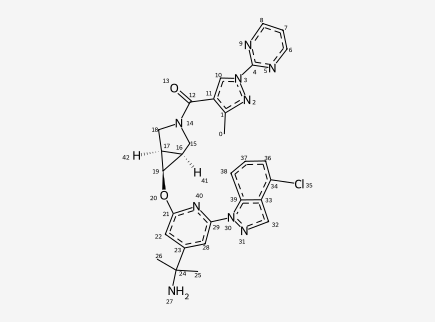 Cc1nn(-c2ncccn2)cc1C(=O)N1C[C@@H]2[C@H](C1)[C@@H]2Oc1cc(C(C)(C)N)cc(-n2ncc3c(Cl)cccc32)n1